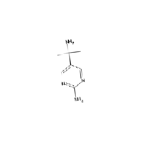 CC(C)(N)c1cnc(N)nc1